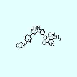 Cc1cncc(Cl)c1C(C)Oc1ccc2[nH]nc(/C=C(\F)C3=CN=C(CN4CCOCC4)C=CC3)c2c1